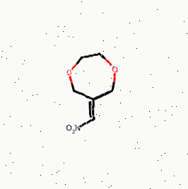 O=[N+]([O-])C=C1COCCOC1